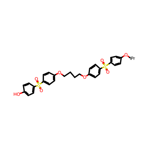 CC(C)Oc1ccc(S(=O)(=O)c2ccc(OCCCCOc3ccc(S(=O)(=O)c4ccc(O)cc4)cc3)cc2)cc1